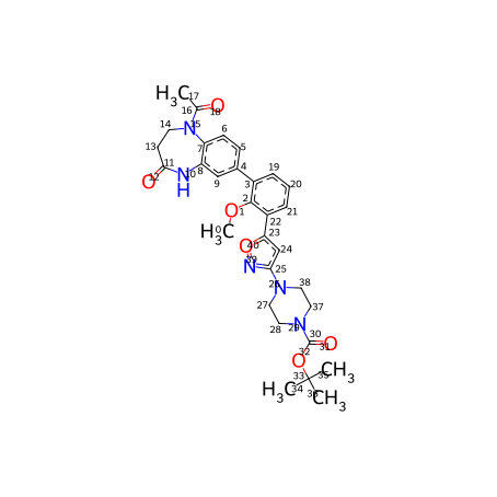 COc1c(-c2ccc3c(c2)NC(=O)CCN3C(C)=O)cccc1-c1cc(N2CCN(C(=O)OC(C)(C)C)CC2)no1